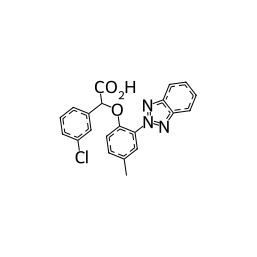 Cc1ccc(OC(C(=O)O)c2cccc(Cl)c2)c(-n2nc3ccccc3n2)c1